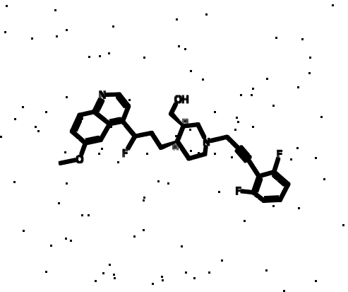 COc1ccc2nccc(C(F)CC[C@@H]3CCN(CC#Cc4c(F)cccc4F)C[C@@H]3CO)c2c1